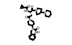 O=C(N[C@@H](CC(=O)N1CCC(N2Cc3ccccc3NC2=O)CC1)C(=O)N1CCC(N2CCCCC2)CC1)C1CC1